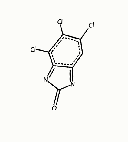 O=C1N=c2cc(Cl)c(Cl)c(Cl)c2=N1